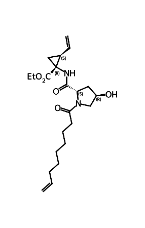 C=CCCCCCCC(=O)N1C[C@H](O)C[C@H]1C(=O)N[C@]1(C(=O)OCC)C[C@H]1C=C